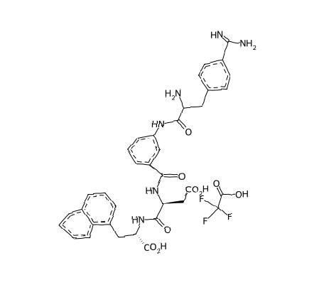 N=C(N)c1ccc(CC(N)C(=O)Nc2cccc(C(=O)N[C@@H](CC(=O)O)C(=O)N[C@@H](Cc3cccc4ccccc34)C(=O)O)c2)cc1.O=C(O)C(F)(F)F